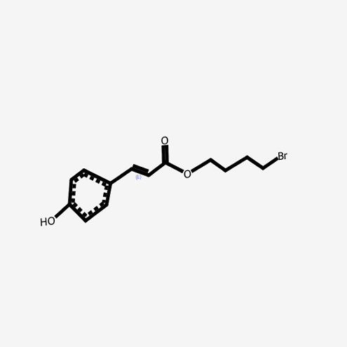 O=C(/C=C/c1ccc(O)cc1)OCCCCBr